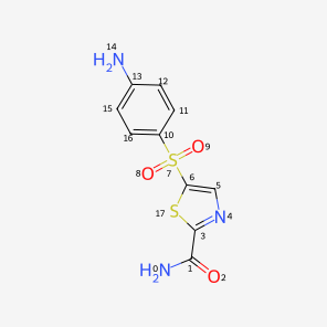 NC(=O)c1ncc(S(=O)(=O)c2ccc(N)cc2)s1